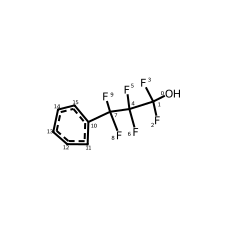 OC(F)(F)C(F)(F)C(F)(F)c1ccccc1